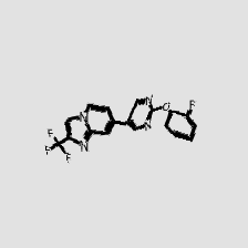 Fc1ccccc1Oc1ncc(-c2ccn3cc(C(F)(F)F)nc3c2)cn1